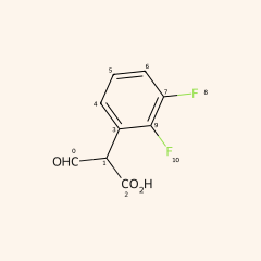 O=CC(C(=O)O)c1cccc(F)c1F